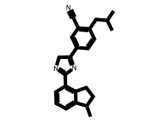 CC(C)Cc1ccc(C2=NC(c3cccc4c3CCC4C)=NC2)cc1C#N